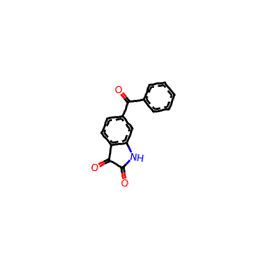 O=C1Nc2cc(C(=O)c3ccccc3)ccc2C1=O